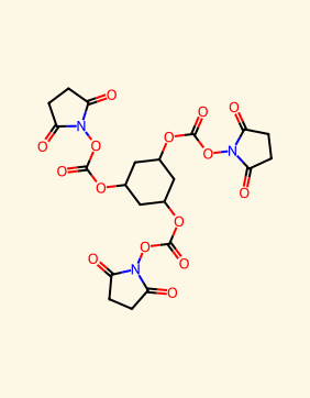 O=C(OC1CC(OC(=O)ON2C(=O)CCC2=O)CC(OC(=O)ON2C(=O)CCC2=O)C1)ON1C(=O)CCC1=O